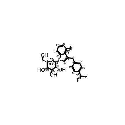 OC[C@H]1O[C@@H](n2cc(Cc3ccc(C(F)F)cc3)c3c(F)cccc32)[C@H](O)[C@@H](O)[C@@H]1O